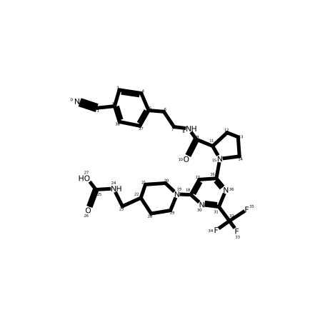 N#Cc1ccc(CCNC(=O)C2CCCN2c2cc(N3CCC(CNC(=O)O)CC3)nc(C(F)(F)F)n2)cc1